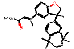 COC(=O)/C=C(\C)c1ccc2c(c1)C(C)(c1ccc3c(c1)C(C)(C)CCC3(C)C)CO2